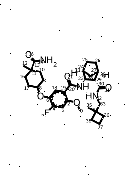 COc1cc(F)c(OC2CCC(C)(C(N)=O)CC2)cc1C(=O)N[C@@H]1[C@H]2CC[C@H](C2)[C@@H]1C(=O)NCC1(C)CCC1